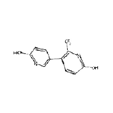 Oc1ccc(-c2ccc(O)nc2C(F)(F)F)cn1